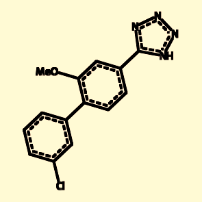 COc1cc(-c2nnn[nH]2)ccc1-c1cccc(Cl)c1